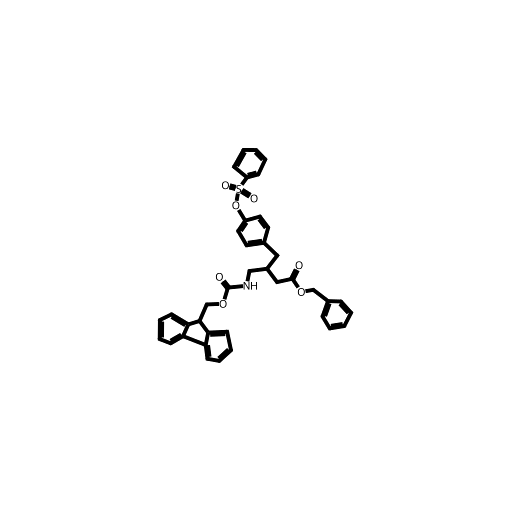 O=C(CC(CNC(=O)OCC1c2ccccc2-c2ccccc21)Cc1ccc(OS(=O)(=O)c2ccccc2)cc1)OCc1ccccc1